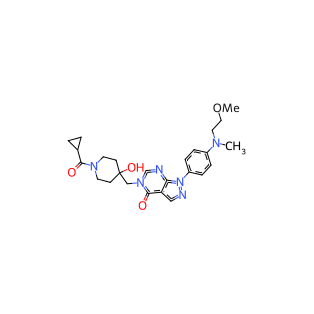 COCCN(C)c1ccc(-n2ncc3c(=O)n(CC4(O)CCN(C(=O)C5CC5)CC4)cnc32)cc1